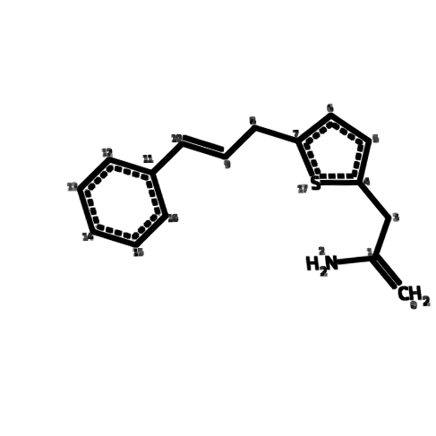 C=C(N)Cc1ccc(CC=Cc2ccccc2)s1